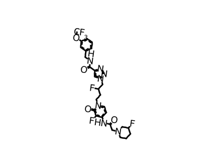 O=C(CN1CCCC(F)C1)Nc1ccn(CCC(F)Cn2cc(C(=O)NCc3cccc(OC(F)(F)F)c3)nn2)c(=O)c1F